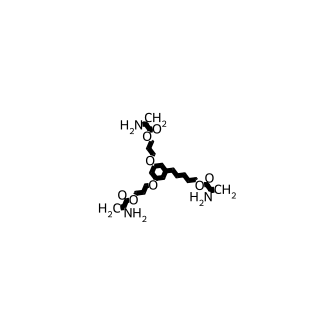 C=C(N)C(=O)OCCCCCC1CC(OCCCOC(=O)C(=C)N)CC(OCCCOC(=O)C(=C)N)C1